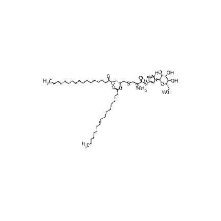 CCCCCCCCCCCCCCCCC(=O)OC[C@H](CSC[C@@H](N)C(=O)Nc1cn(C2OC(CO)C(O)C(O)C2O)nn1)OC(=O)CCCCCCCCCCCCCCCC